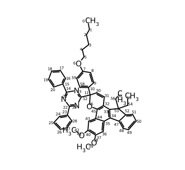 CCCCCCOc1ccc(C2(c3nc(-c4ccccc4)nc(-c4ccccc4)n3)C=Cc3c4c(c5cc(OC)c(OC)cc5c3O2)-c2ccccc2C4(CC)CC)cc1